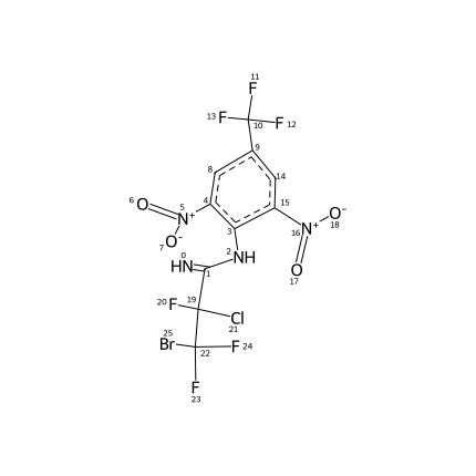 N=C(Nc1c([N+](=O)[O-])cc(C(F)(F)F)cc1[N+](=O)[O-])C(F)(Cl)C(F)(F)Br